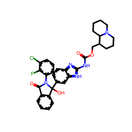 O=C(Nc1nc2ccc(C3(O)c4ccccc4C(=O)N3c3cccc(Cl)c3F)cc2[nH]1)OCC1CCCN2CCCCC12